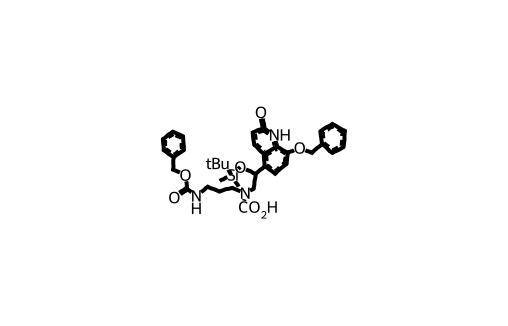 CC(C)(C)[Si](C)(C)OC(CN(CCCNC(=O)OCc1ccccc1)C(=O)O)c1ccc(OCc2ccccc2)c2[nH]c(=O)ccc12